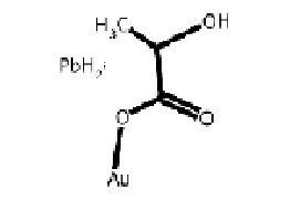 CC(O)C(=O)[O][Au].[PbH2]